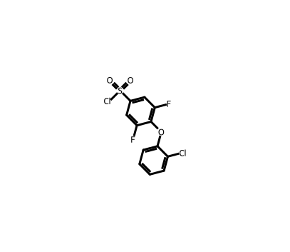 O=S(=O)(Cl)c1cc(F)c(Oc2ccccc2Cl)c(F)c1